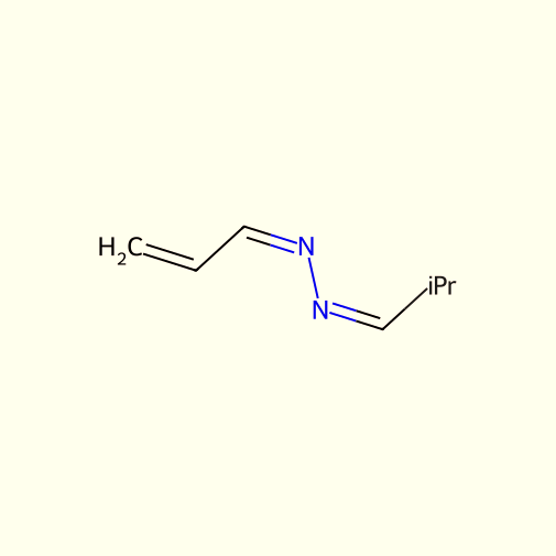 C=C/C=N\N=C/C(C)C